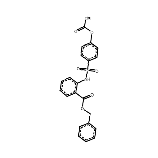 CC(C)(C)C(=O)Oc1ccc(S(=O)(=O)Nc2ccccc2C(=O)OCc2ccccc2)cc1